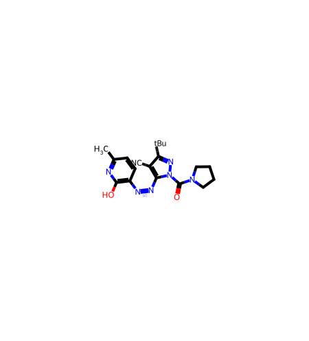 Cc1ccc(/N=N\c2c(C#N)c(C(C)(C)C)nn2C(=O)N2CCCC2)c(O)n1